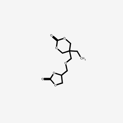 CCC1(COCC2COC(=O)O2)COC(=O)OC1